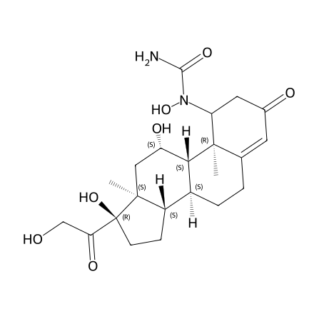 C[C@]12C[C@H](O)[C@H]3[C@@H](CCC4=CC(=O)CC(N(O)C(N)=O)[C@@]43C)[C@@H]1CC[C@]2(O)C(=O)CO